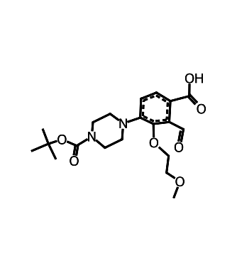 COCCOc1c(N2CCN(C(=O)OC(C)(C)C)CC2)ccc(C(=O)O)c1C=O